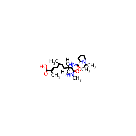 CNC(=O)[C@H](NC(=O)[C@@H]1CCCCN1C(C)C)C(C)(C)CCC(C)C/C=C(\C)C(=O)O